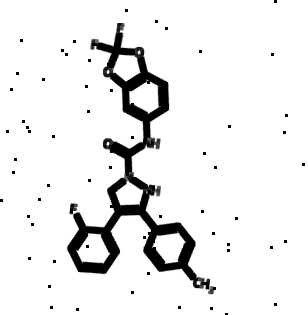 Cc1ccc(C2=C(c3ccccc3F)CN(C(=O)Nc3ccc4c(c3)OC(F)(F)O4)N2)cc1